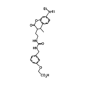 CCN(CC)c1ccc2c(c1)OC(=O)C(CCNC(=O)NCc1cccc(OCC(=O)O)c1)C2C